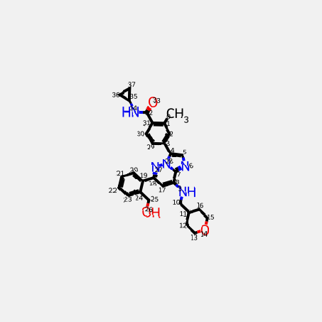 Cc1cc(-c2cnc3c(NCC4CCOCC4)cc(-c4ccccc4CO)nn23)ccc1C(=O)NC1CC1